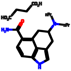 CCCN(CCC)C1Cc2c[nH]c3ccc(C(N)=O)c(c23)C1.O=C(O)CCC(=O)O